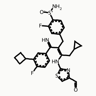 N=C(/C(Cc1ccc([S+](N)[O-])c(F)c1)=C(/CC1CC1)Nc1nc(C=O)cs1)c1ccc(F)c(C2CCC2)c1